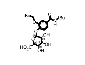 CC(C)(C)COc1cc(C(=O)NC(C)(C)C)ccc1O[C@@H]1O[C@H](C(=O)O)[C@@H](O)[C@H](O)[C@H]1O